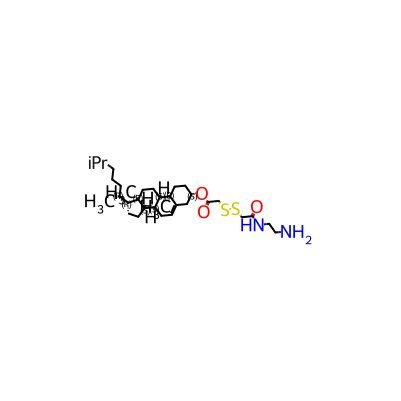 CC(C)CCC[C@@H](C)[C@H]1CC[C@H]2[C@@H]3CC=C4C[C@@H](OC(=O)CSSCC(=O)NCCN)CC[C@]4(C)[C@H]3CC[C@]12C